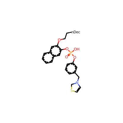 CCCCCCCCCCCCOc1cc2ccccc2cc1OP(=O)(O)Oc1cccc(CN2C=CSC2)c1